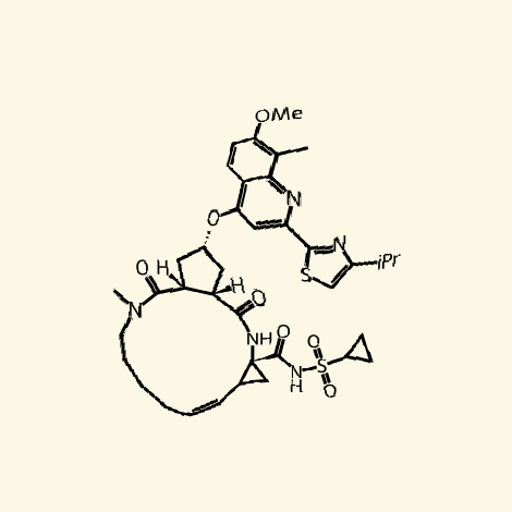 COc1ccc2c(O[C@@H]3C[C@@H]4C(=O)N[C@]5(C(=O)NS(=O)(=O)C6CC6)CC5/C=C\CCCCN(C)C(=O)[C@@H]4C3)cc(-c3nc(C(C)C)cs3)nc2c1C